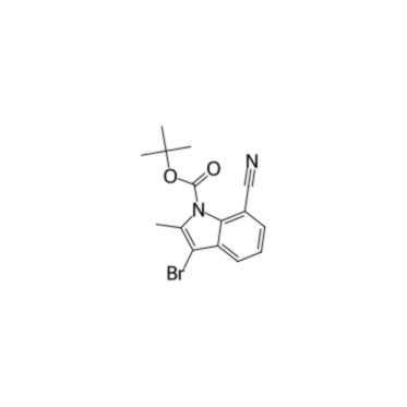 Cc1c(Br)c2cccc(C#N)c2n1C(=O)OC(C)(C)C